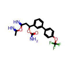 CC(=N)OC(=N)CC(OC(N)=O)c1cccc(-c2ccc(OC(F)(F)F)cc2)c1